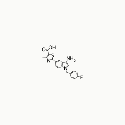 Cc1nc(-c2ccc3c(c2)c(N)cn3Cc2ccc(F)cc2)sc1C(=O)O